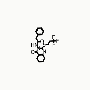 O=C(Cc1ccccc1)Nn1c(SCCC(F)(F)F)nc2c(c1=O)CCCC2